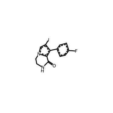 O=C1NCCn2cc(I)c(-c3ccc(F)cc3)c21